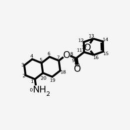 NC1CCCC2CC(OC(=O)C3CC4C=CC3O4)CCC12